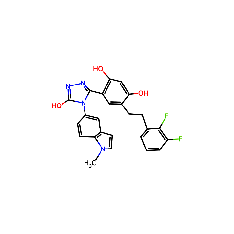 Cn1ccc2cc(-n3c(O)nnc3-c3cc(CCc4cccc(F)c4F)c(O)cc3O)ccc21